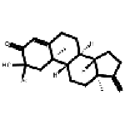 C=C1CC[C@H]2[C@@H]3CCC4=CC(=O)C(O)(C(C)=O)C[C@]4(C)[C@H]3CC[C@]12C